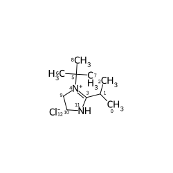 CC(C)C1=[N+](C(C)(C)C)CCN1.[Cl-]